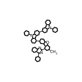 Cc1cc(-c2nc(-c3ccccc3)c3ccccc3n2)c2c(c1)oc1ccc(-c3cccc4c3c3cc(-c5ccc6c(c5)c5ccccc5n6-c5ccccc5)ccc3n4-c3ccccc3)cc12